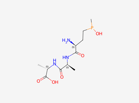 C[C@H](NC(=O)[C@H](C)NC(=O)[C@@H](N)CCP(C)O)C(=O)O